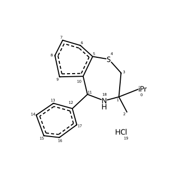 CC(C)C1(C)CSc2ccccc2C(c2ccccc2)N1.Cl